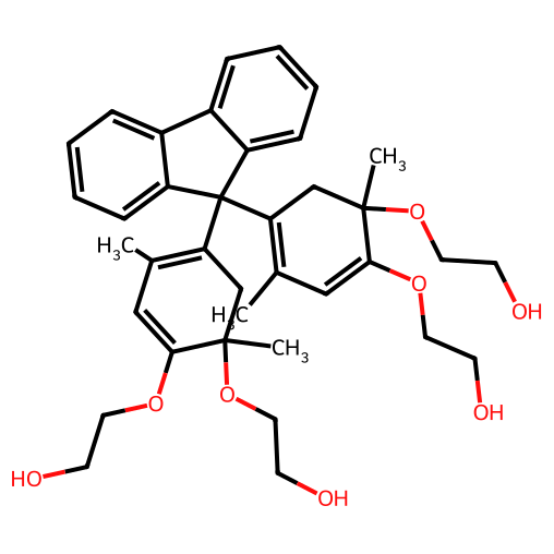 CC1=C(C2(C3=C(C)C=C(OCCO)C(C)(OCCO)C3)c3ccccc3-c3ccccc32)CC(C)(OCCO)C(OCCO)=C1